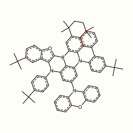 CC(C)(C)c1ccc(N2c3cc(N4c5ccccc5Oc5ccccc54)cc4c3B(c3cc5c(cc3N4c3ccc(C(C)(C)C)cc3-c3ccccc3)C(C)(C)CCC5(C)C)c3oc4ccc(C(C)(C)C)cc4c32)cc1